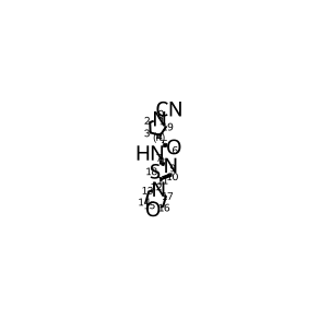 N#CN1CC[C@@H](C(=O)Nc2ncc(N3CCOCC3)s2)C1